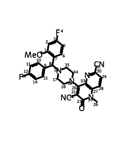 COc1cc(F)ccc1C(c1ccc(F)cc1)N1CCN(c2c(C#N)c(=O)n(C)c3ccc(C#N)nc23)CC1